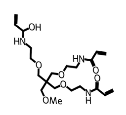 C=CC(=O)NCCOCC(COC)(COCCNC(=O)C=C)COCCNC(O)C=C